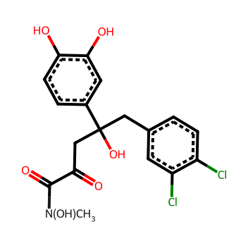 CN(O)C(=O)C(=O)CC(O)(Cc1ccc(Cl)c(Cl)c1)c1ccc(O)c(O)c1